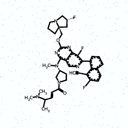 C#Cc1c(F)ccc2cccc(-c3ncc4c(N(C)[C@@H]5CCN(C(=O)/C=C/C(C)N(C)C)C5)nc(OC[C@@]56CCCN5C[C@H](F)C6)nc4c3F)c12